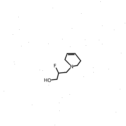 OCC(F)CN1CC=CCC1